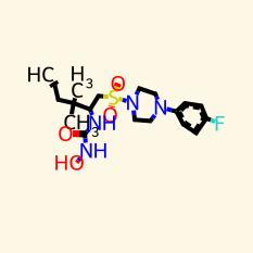 C#CCC(C)(C)C(CS(=O)(=O)N1CCN(c2ccc(F)cc2)CC1)NC(=O)NO